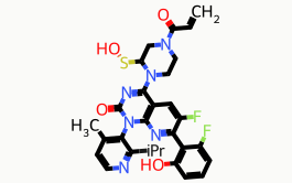 C=CC(=O)N1CCN(c2nc(=O)n(-c3c(C)ccnc3C(C)C)c3nc(-c4c(O)cccc4F)c(F)cc23)C(SO)C1